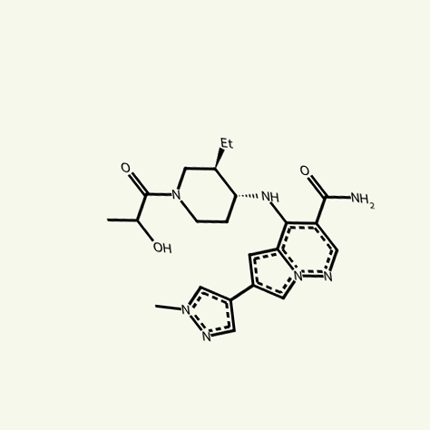 CC[C@@H]1CN(C(=O)C(C)O)CC[C@H]1Nc1c(C(N)=O)cnn2cc(-c3cnn(C)c3)cc12